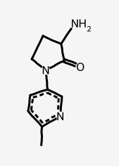 Cc1ccc(N2CCC(N)C2=O)cn1